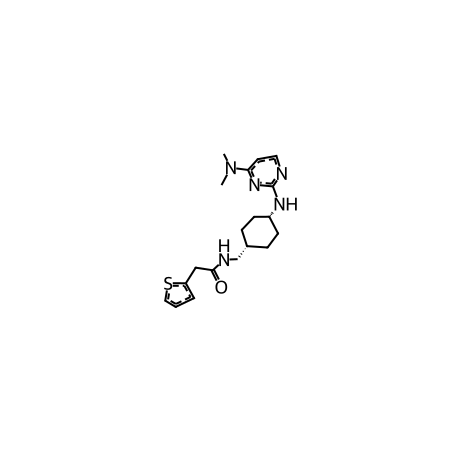 CN(C)c1ccnc(N[C@H]2CC[C@@H](CNC(=O)Cc3cccs3)CC2)n1